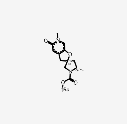 C[C@H]1C[C@]2(Cc3cc(=O)n(C)cc3O2)CN1C(=O)OC(C)(C)C